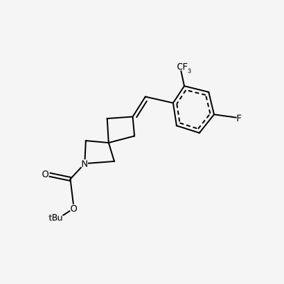 CC(C)(C)OC(=O)N1CC2(CC(=Cc3ccc(F)cc3C(F)(F)F)C2)C1